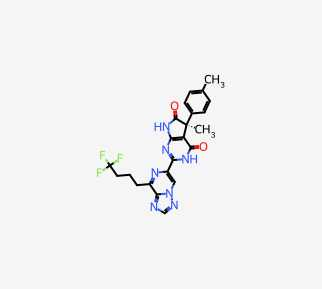 Cc1ccc([C@]2(C)C(=O)Nc3nc(-c4cn5ncnc5c(CCCC(F)(F)F)n4)[nH]c(=O)c32)cc1